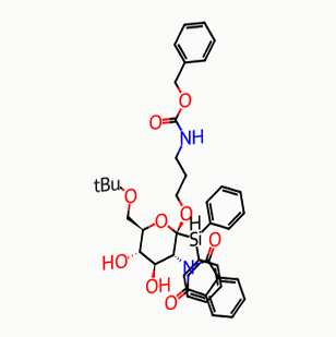 CC(C)(C)OC[C@H]1O[C@](OCCCNC(=O)OCc2ccccc2)([SiH](c2ccccc2)c2ccccc2)[C@H](N2C(=O)c3ccccc3C2=O)[C@@H](O)[C@@H]1O